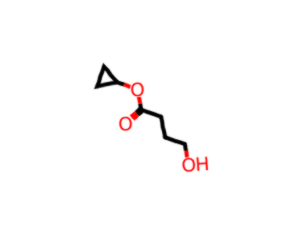 O=C(CCCO)OC1CC1